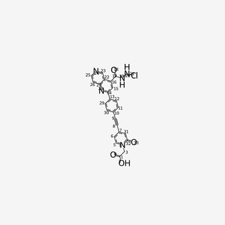 O=C(O)Cn1ccc(C#Cc2ccc(-c3cc(C(=O)NNCl)c4cnccc4n3)cc2)cc1=O